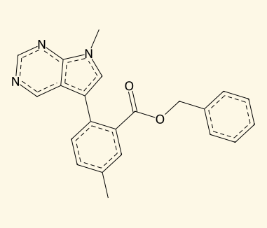 Cc1ccc(-c2cn(C)c3ncncc23)c(C(=O)OCc2ccccc2)c1